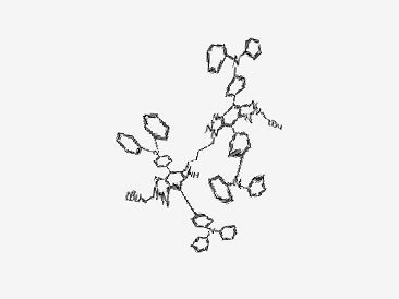 CC(C)(C)Cn1nc2c(-c3ccc(N(c4ccccc4)c4ccccc4)cc3)c3nnn(CCCCn4[nH]c5c(-c6ccc(N(c7ccccc7)c7ccccc7)cc6)c6nn(CC(C)(C)C)nc6c(-c6ccc(N(c7ccccc7)c7ccccc7)cc6)c54)c3c(-c3ccc(N(c4ccccc4)c4ccccc4)cc3)c2n1